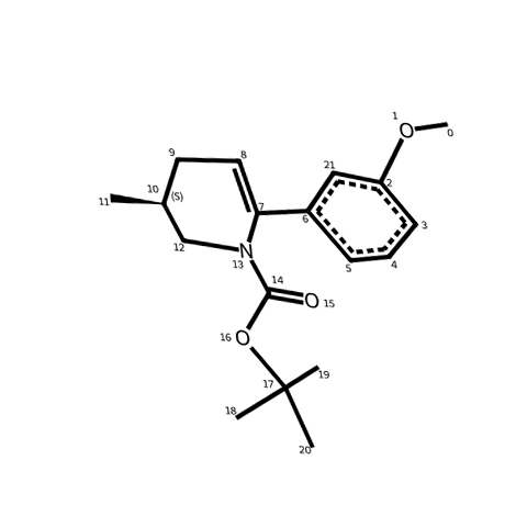 COc1cccc(C2=CC[C@H](C)CN2C(=O)OC(C)(C)C)c1